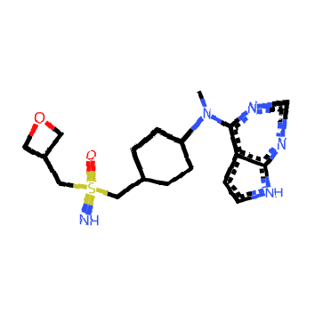 CN(c1ncnc2[nH]ccc12)C1CCC(CS(=N)(=O)CC2COC2)CC1